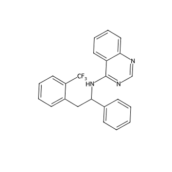 FC(F)(F)c1ccccc1CC(Nc1ncnc2ccccc12)c1ccccc1